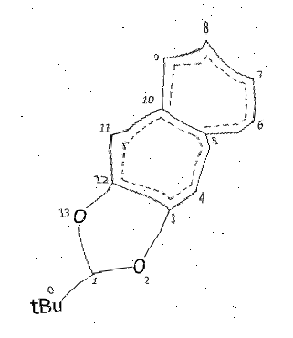 CC(C)(C)C1Oc2cc3ccccc3cc2O1